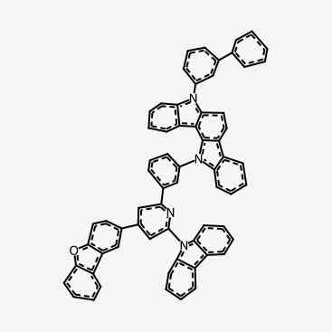 c1ccc(-c2cccc(-n3c4ccccc4c4c3ccc3c5ccccc5n(-c5cccc(-c6cc(-c7ccc8oc9ccccc9c8c7)cc(-n7c8ccccc8c8ccccc87)n6)c5)c34)c2)cc1